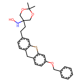 CC1(C)OCC(CCc2ccc3c(c2)Sc2cc(OCc4ccccc4)ccc2C3)(NO)CO1